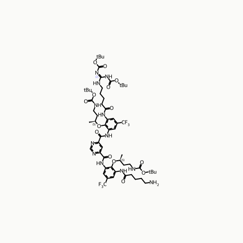 C[C@@H](CCNC(=O)OC(C)(C)C)Oc1c(NC(=O)CCCCN)cc(C(F)(F)F)cc1NC(=O)c1cc(C(=O)Nc2cc(C(F)(F)F)cc(NC(=O)CCCCN/C(=N/C(=O)OC(C)(C)C)NC(=O)OC(C)(C)C)c2O[C@@H](C)CCNC(=O)OC(C)(C)C)ncn1